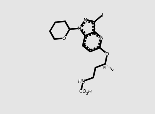 C[C@H](CCNC(=O)O)Oc1ccc2c(n1)c(I)nn2C1CCCCO1